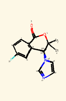 CCC1(CC)OC(=O)c2ccc(F)cc2[C@@H]1n1ccnc1